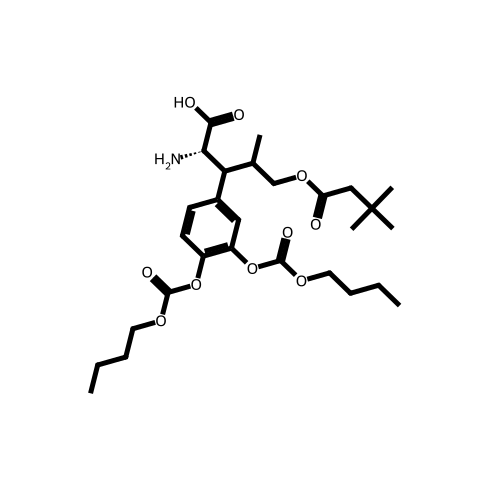 CCCCOC(=O)Oc1ccc(C(C(C)COC(=O)CC(C)(C)C)[C@H](N)C(=O)O)cc1OC(=O)OCCCC